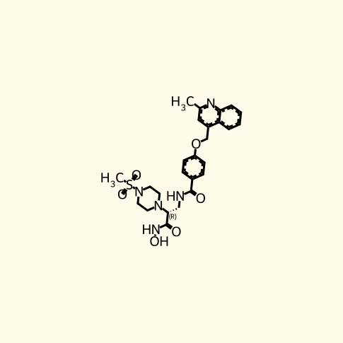 Cc1cc(COc2ccc(C(=O)NC[C@H](C(=O)NO)N3CCN(S(C)(=O)=O)CC3)cc2)c2ccccc2n1